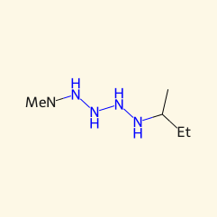 CCC(C)NNNNNC